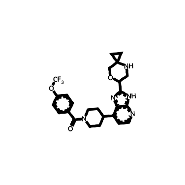 O=C(c1ccc(OC(F)(F)F)cc1)N1CCC(c2ccnc3[nH]c(C4CNC5(CC5)CO4)nc23)CC1